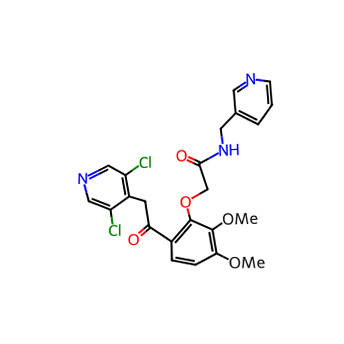 COc1ccc(C(=O)Cc2c(Cl)cncc2Cl)c(OCC(=O)NCc2cccnc2)c1OC